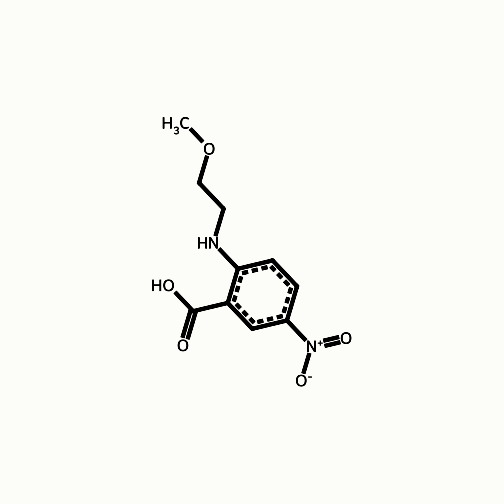 COCCNc1ccc([N+](=O)[O-])cc1C(=O)O